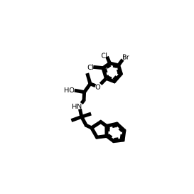 CC(Oc1ccc(Br)c(Cl)c1Cl)C(O)CNC(C)(C)CC1Cc2ccccc2C1